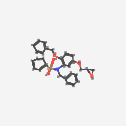 O=S(=O)(c1ccccc1)N(Cc1ccccc1)c1cc(OCC2CO2)ccc1OCc1ccccc1